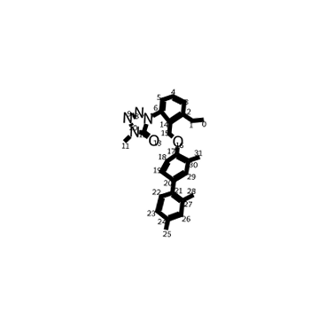 CCc1cccc(-n2nnn(C)c2=O)c1COc1ccc(-c2ccc(C)cc2C)cc1C